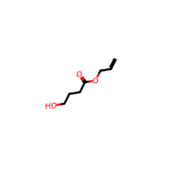 C=CCOC(=O)CCCO